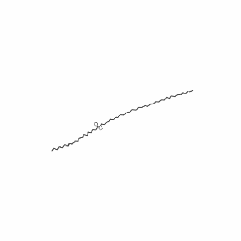 CCCCCCC=CCCCCCCCCCCCC(=O)OCCCCCCCCCCCCCCCCCCCCCCCCCCCCCCCCCCC